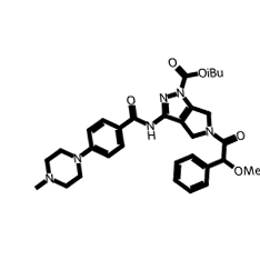 COC(C(=O)N1Cc2c(NC(=O)c3ccc(N4CCN(C)CC4)cc3)nn(C(=O)OCC(C)C)c2C1)c1ccccc1